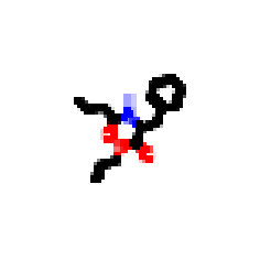 C=CCOC(=O)C(Cc1ccccc1)NC(=O)CCC